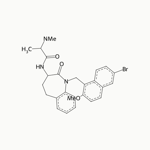 CNC(C)C(=O)NC1CCc2ccccc2N(Cc2c(OC)ccc3cc(Br)ccc23)C1=O